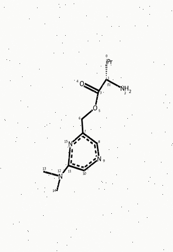 CC(C)[C@H](N)C(=O)OCc1cncc(N(C)C)n1